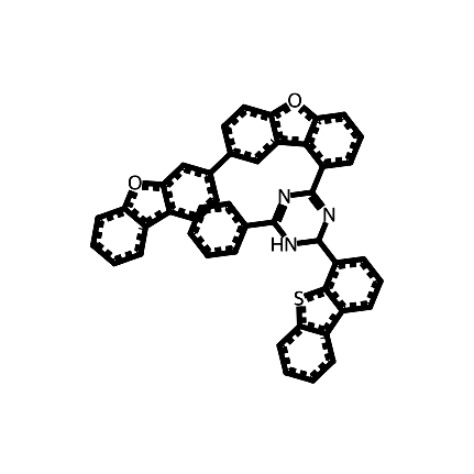 c1ccc(C2=NC(c3cccc4oc5ccc(-c6ccc7c(c6)oc6ccccc67)cc5c34)=NC(c3cccc4c3sc3ccccc34)N2)cc1